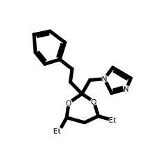 CCC1CC(CC)OC(CCc2ccccc2)(Cn2ccnc2)O1